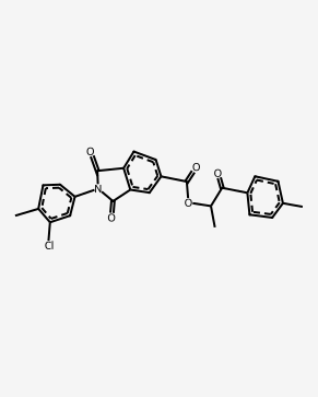 Cc1ccc(C(=O)C(C)OC(=O)c2ccc3c(c2)C(=O)N(c2ccc(C)c(Cl)c2)C3=O)cc1